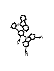 N#Cc1ccc2c(c1)c1cc(C#N)ccc1n2-c1ccc(-c2ccccc2-n2c3ccccc3c3ccccc32)cc1C#N